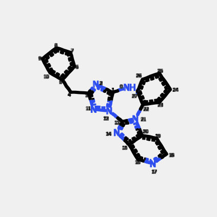 Nc1nc(Cc2ccccc2)nn1-c1nc2cnccc2n1-c1ccccc1